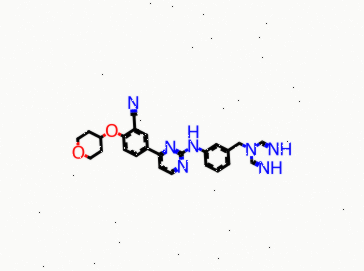 N#Cc1cc(-c2ccnc(Nc3cccc(CN(C=N)C=N)c3)n2)ccc1OC1CCOCC1